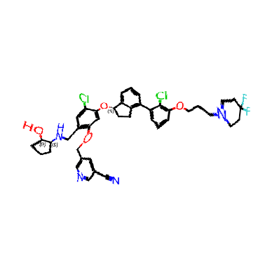 N#Cc1cncc(COc2cc(O[C@H]3CCc4c(-c5cccc(OCCCN6CCC(F)(F)CC6)c5Cl)cccc43)c(Cl)cc2CN[C@H]2CCC[C@H]2O)c1